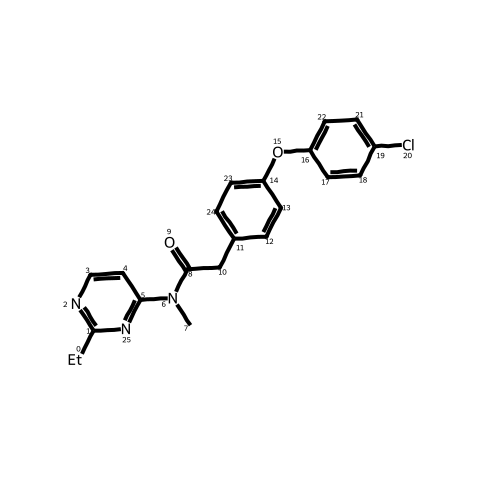 CCc1nccc(N(C)C(=O)Cc2ccc(Oc3ccc(Cl)cc3)cc2)n1